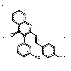 CC(=O)c1cccc(-n2c(/C=C/c3ccc(F)cc3)nc3ccccc3c2=O)c1